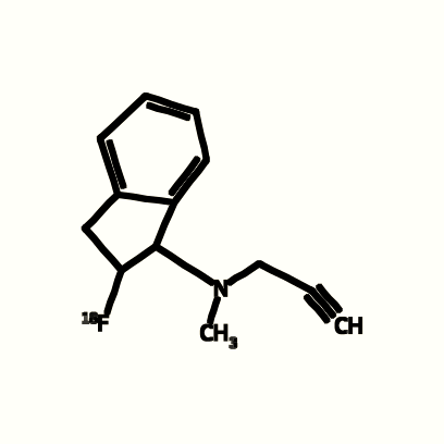 C#CCN(C)C1c2ccccc2CC1[18F]